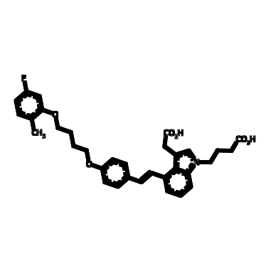 Cc1ccc(F)cc1OCCCCOc1ccc(C=Cc2cccc3c2c(CC(=O)O)cn3CCCC(=O)O)cc1